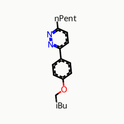 CCCCCc1ccc(-c2ccc(OCC(C)CC)cc2)nn1